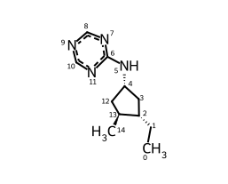 CC[C@H]1C[C@@H](Nc2ncncn2)C[C@@H]1C